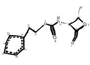 C[C@@H]1OC(=O)[C@@H]1NC(=O)OCCc1ccccc1